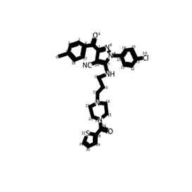 Cc1ccc(C(=O)c2nn(-c3ccc(Cl)cc3)c(NCCCN3CCN(C(=O)c4cccs4)CC3)c2C#N)cc1